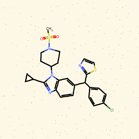 CS(=O)(=O)N1CCC(n2c(C3CC3)nc3ccc(C(c4ccc(Cl)cc4)c4nccs4)cc32)CC1